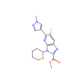 COC(=O)c1nc2cc(F)c(-c3cnn(C)c3)nc2n1C1CCCCO1